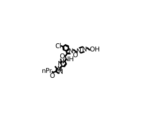 CCCC(=O)c1cnn(-c2ccc(NC(=O)c3cn(CC(=O)N4CCN(CCO)CC4)c4ccc(Cl)cc34)nn2)c1C